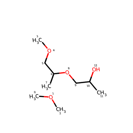 COC.COCC(C)OCC(C)O